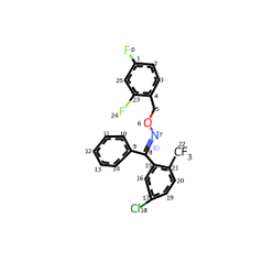 Fc1ccc(CO/N=C(\c2ccccc2)c2cc(Cl)ccc2C(F)(F)F)c(F)c1